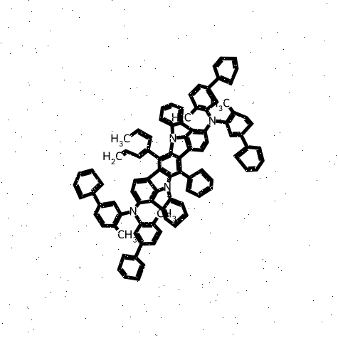 C=C/C=C(\C=C/C)c1c2c3ccc(N(c4cc(-c5ccccc5)ccc4C)c4cc(-c5ccccc5)ccc4C)c4c5ccccc5n(c2c(-c2ccccc2)c2c5ccc(N(c6cc(-c7ccccc7)ccc6C)c6cc(-c7ccccc7)ccc6C)c6c7ccccc7n(c12)c56)c34